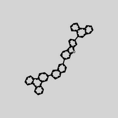 c1ccc2c(c1)cc(-c1ccc3c(c1)oc1cc(-c4ccc5ccc(-c6ccc7c8ccccc8c8ccccc8c7c6)cc5c4)ccc13)c1ccccc12